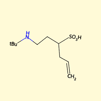 C=CCC(CCNC(C)(C)C)S(=O)(=O)O